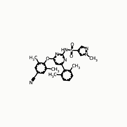 Cc1cc(C#N)cc(C)c1Oc1cc(-c2c(C)cccc2C)nc(NS(=O)(=O)c2cnn(C)c2)n1